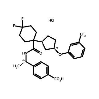 C[C@H](NC(=O)C1(N2CC[C@@H](Oc3cccc(C(F)(F)F)c3)C2)CCC(F)(F)CC1)c1ccc(C(=O)O)cc1.Cl